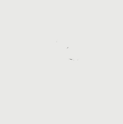 CCC(CC)O[C@@H]1C=C(Br)[C@H](Br)[C@@H](OC(C)=O)[C@H]1NC(C)=O